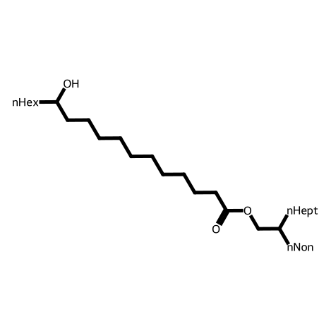 CCCCCCCCCC(CCCCCCC)COC(=O)CCCCCCCCCCC(O)CCCCCC